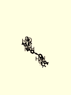 CC[C@@H](C)[C@H](C)C(=O)N1CC2(CC2)C[C@H]1c1nc2ccc(C#Cc3ccc(-c4cnc([C@@H]5CC6(CC6)CN5C(=O)[C@@H](NC(=O)OC)C(C)C)[nH]4)cc3)cc2[nH]1